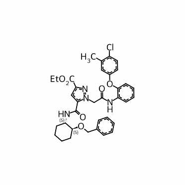 CCOC(=O)c1cc(C(=O)N[C@H]2CCCC[C@@H]2OCc2ccccc2)n(CC(=O)Nc2ccccc2Oc2ccc(Cl)c(C)c2)n1